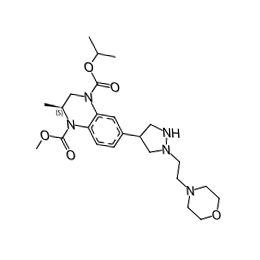 COC(=O)N1c2ccc(C3CNN(CCN4CCOCC4)C3)cc2N(C(=O)OC(C)C)C[C@@H]1C